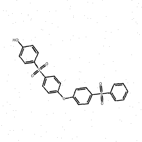 O=S(=O)(c1ccccc1)c1ccc(Oc2ccc(S(=O)(=O)c3ccc(O)cc3)cc2)cc1